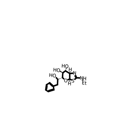 CCNC1=N[C@@H]2[C@@H](O)[C@H](O)[C@@H](C(O)Cc3ccccc3)O[C@@H]2S1